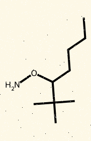 CCCCC(ON)C(C)(C)C